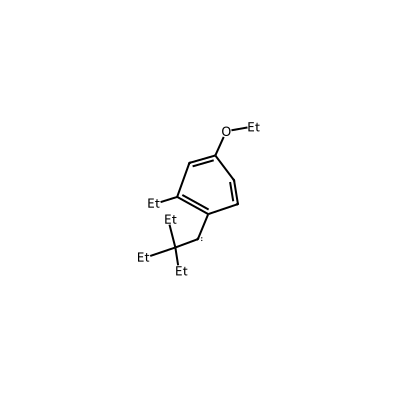 CCOc1ccc([C]C(CC)(CC)CC)c(CC)c1